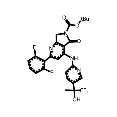 CC(C)(C)OC(=O)N1Cc2nc(-c3c(F)cccc3F)cc(Nc3ccc(C(C)(O)C(F)(F)F)cn3)c2C1=O